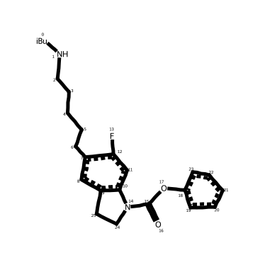 CCC(C)NCCCCCc1cc2c(cc1F)N(C(=O)Oc1ccccc1)CC2